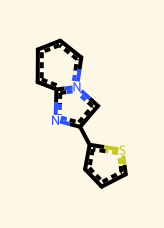 c1csc(-c2cn3ccccc3n2)c1